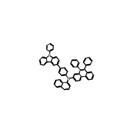 c1ccc(-c2c(-c3ccccc3)c3cc(N(c4ccc(-c5ccc6c(c5)c5ccccc5n6-c5ccccc5)cc4)c4cccc5ccccc45)ccc3c3ccccc23)cc1